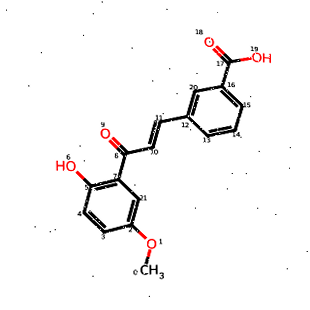 COc1ccc(O)c(C(=O)C=Cc2cccc(C(=O)O)c2)c1